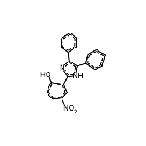 O=[N+]([O-])c1ccc(O)c(-c2nc(-c3c[c]ccc3)c(-c3ccccc3)[nH]2)c1